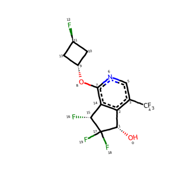 O[C@H]1c2c(C(F)(F)F)cnc(O[C@H]3C[C@H](F)C3)c2[C@@H](F)C1(F)F